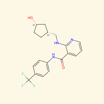 O=C(Nc1ccc(C(F)(F)F)cc1)c1cccnc1NC[C@@H]1CC[C@H](O)C1